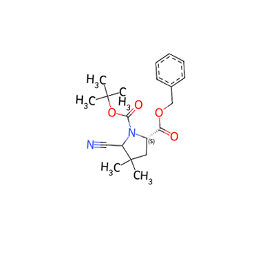 CC(C)(C)OC(=O)N1C(C#N)C(C)(C)C[C@H]1C(=O)OCc1ccccc1